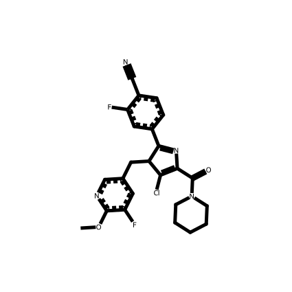 COc1ncc(CC2C(c3ccc(C#N)c(F)c3)=NC(C(=O)N3CCCCC3)=C2Cl)cc1F